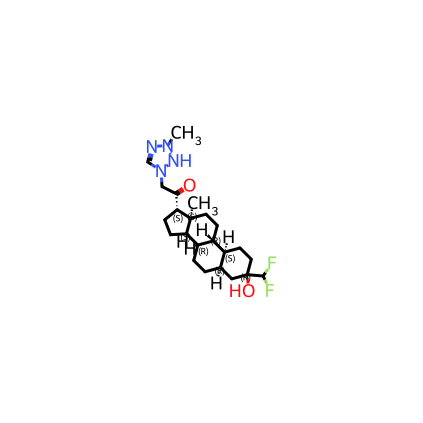 CN1N=CN(CC(=O)[C@H]2CC[C@H]3[C@@H]4CC[C@@H]5C[C@@](O)(C(F)F)CC[C@@H]5[C@H]4CC[C@]23C)N1